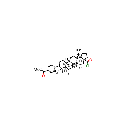 COC(=O)c1ccc(C2=CC[C@]3(C)[C@H]4CC[C@@H]5[C@H]6[C@H](C(C)C)CC[C@]6(C(=O)Cl)CC[C@@]5(C)[C@]4(C)CC[C@H]3C2(C)C)cc1